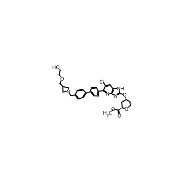 COC(=O)[C@H]1C[C@@H](Oc2nc3nc(-c4ccc(-c5ccc(CN6CC(COCCO)C6)cc5)cc4)c(Cl)cc3[nH]2)CCO1